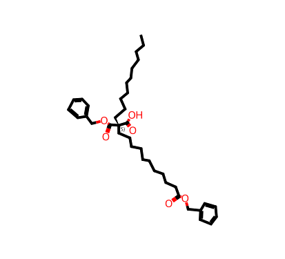 CCCCCCCCCCC[C@](CCCCCCCCCCC(=O)OCc1ccccc1)(C(=O)O)C(=O)OCc1ccccc1